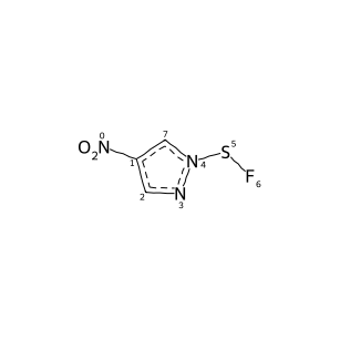 O=[N+]([O-])c1cnn(SF)c1